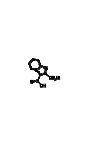 CCOC(=O)c1nc2ccccn2c1S(=O)O